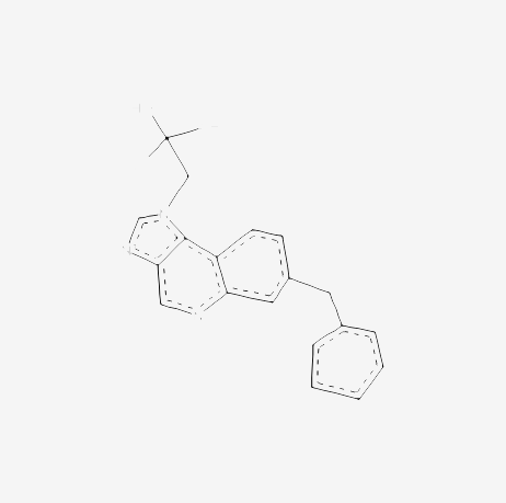 CC(C)(O)Cn1cnc2cnc3cc(Cc4ccccc4)ccc3c21